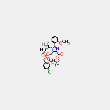 CCOC(=O)c1nc(-c2ccccc2OC)n(C(C)C)c1COS(=O)(=O)Cc1ccc(Cl)cc1C